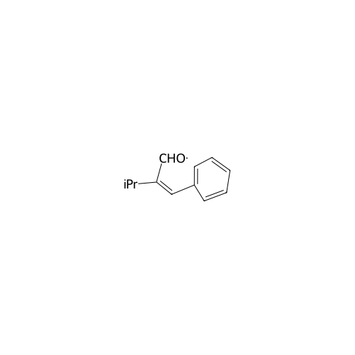 CC(C)C([C]=O)=Cc1ccccc1